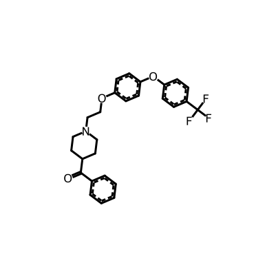 O=C(c1ccccc1)C1CCN(CCOc2ccc(Oc3ccc(C(F)(F)F)cc3)cc2)CC1